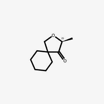 C[C@@H]1OCC2(CCCCC2)C1=O